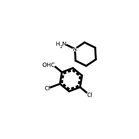 NN1CCCCC1.O=Cc1ccc(Cl)cc1Cl